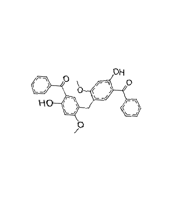 COc1cc(O)c(C(=O)c2ccccc2)cc1Cc1cc(C(=O)c2ccccc2)c(O)cc1OC